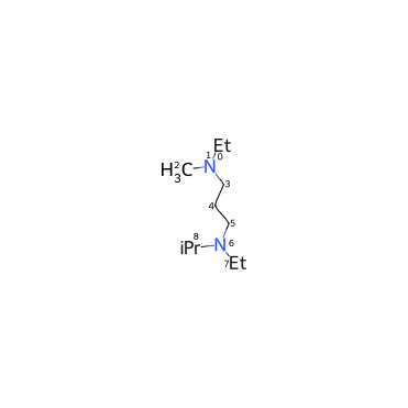 CCN(C)CCCN(CC)C(C)C